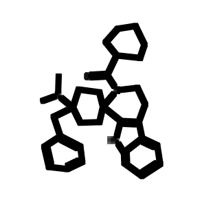 CN(C)C1(Cc2ccccc2)CCC2(CC1)c1[nH]c3ccccc3c1CCN2C(=O)C1CCCCC1